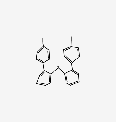 Ic1ccc(-c2ccccc2[C]c2ccccc2-c2ccc(I)cc2)cc1